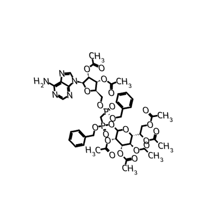 CC(=O)OCC(OC(C)=O)[C@H]1OC(OP(=O)(CP(=O)(OCc2ccccc2)OC[C@H]2O[C@@H](n3cnc4c(N)ncnc43)[C@H](OC(C)=O)[C@@H]2OC(C)=O)OCc2ccccc2)[C@@H](OC(C)=O)[C@@H](OC(C)=O)[C@@H]1OC(C)=O